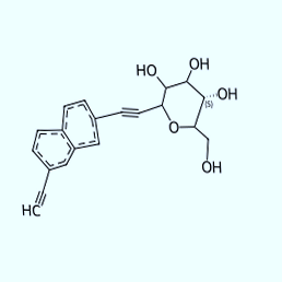 C#Cc1ccc2ccc(C#CC3OC(CO)[C@@H](O)C(O)C3O)cc2c1